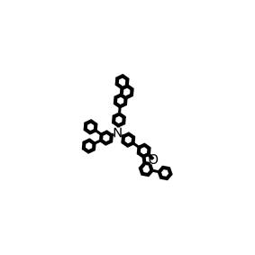 c1ccc(-c2ccc(N(c3ccc(-c4ccc5c(ccc6ccccc65)c4)cc3)c3ccc(-c4ccc5oc6c(-c7ccccc7)cccc6c5c4)cc3)cc2-c2ccccc2)cc1